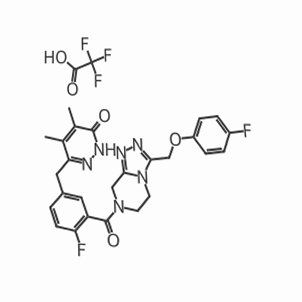 Cc1c(Cc2ccc(F)c(C(=O)N3CCn4c(COc5ccc(F)cc5)nnc4C3)c2)n[nH]c(=O)c1C.O=C(O)C(F)(F)F